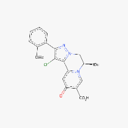 COc1ccccc1-c1nn2c(c1Cl)-c1cc(=O)c(C(=O)O)cn1[C@H](C(C)(C)C)C2